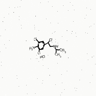 CC(C)NCC(Cl)c1cc(Cl)c(N)c(Cl)c1.Cl